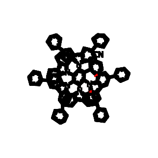 N#Cc1cccc(-c2c(-n3c4ccc(-c5ccccc5)cc4c4cc(-c5ccccc5)ccc43)c(-n3c4ccccc4c4ccccc43)c(-n3c4ccc(-c5ccccc5)cc4c4cc(-c5ccccc5)ccc43)c(-n3c4ccccc4c4ccccc43)c2-n2c3ccc(-c4ccccc4)cc3c3cc(-c4ccccc4)ccc32)c1